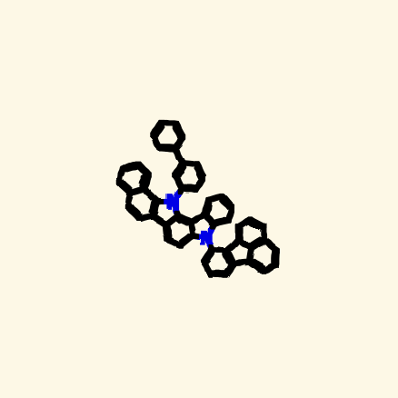 c1ccc(-c2cccc(-n3c4c5ccccc5ccc4c4ccc5c(c6ccccc6n5-c5cccc6c5-c5cccc7cccc-6c57)c43)c2)cc1